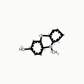 CN1c2ccccc2Sc2cc(O)ccc21